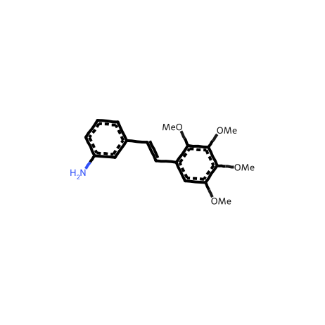 COc1cc(C=Cc2cccc(N)c2)c(OC)c(OC)c1OC